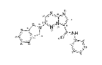 O=C(Nc1ccccc1)c1cnc2ccc(N3Cc4ccccc4C3)nn12